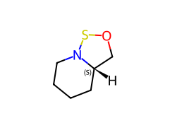 C1CCN2SOC[C@@H]2C1